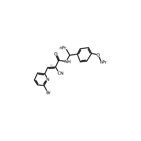 CCCOc1ccc(C(CCC)NC(=O)/C(C#N)=C/c2cccc(Br)n2)cc1